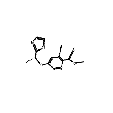 COC(=O)c1ncc(O[C@H](C)c2ncco2)cc1C